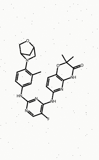 Cc1cc(Nc2ncc(F)c(Nc3ccc4c(n3)NC(=O)C(C)(C)O4)n2)ccc1N1CC2CC1CO2